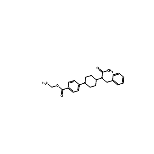 CCOC(=O)c1ccc(N2CCC(N(Cc3ccccc3)C(C)=O)CC2)cc1